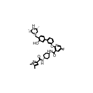 Cc1cc(C(=O)N[C@H]2CC[C@H](NC(=O)c3cc(F)cnc3Oc3cccc(-c4ccc(CN5C[C@@H](C)N[C@@H](C)C5)c(O)c4)c3)CC2)nn1C